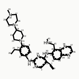 C=Cc1cnc(Nc2ccc(N3CCC(N4CCN(C)CC4)CC3)c(CC)c2)nc1Nc1ccc2nccnc2c1CNC